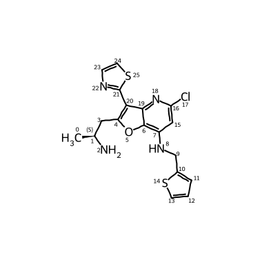 C[C@H](N)Cc1oc2c(NCc3cccs3)cc(Cl)nc2c1-c1nccs1